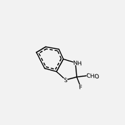 O=CC1(F)Nc2ccccc2S1